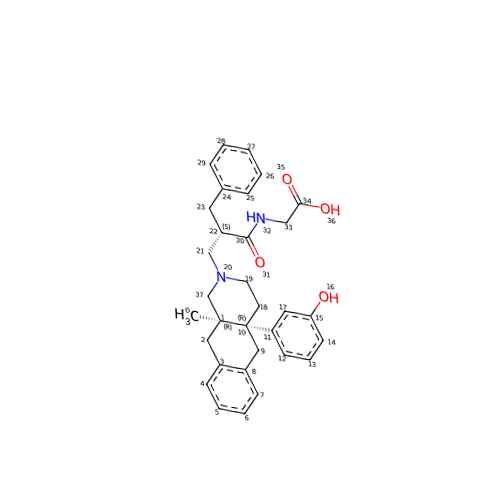 C[C@@]12Cc3ccccc3C[C@]1(c1cccc(O)c1)CCN(C[C@H](Cc1ccccc1)C(=O)NCC(=O)O)C2